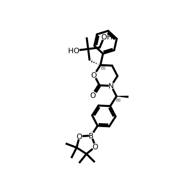 C[C@@H](c1ccc(B2OC(C)(C)C(C)(C)O2)cc1)N1CC[C@](CC(C)(O)CO)(c2ccccc2)OC1=O